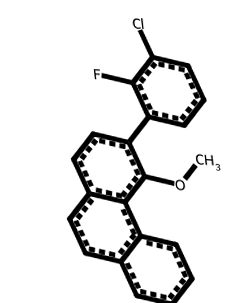 COc1c(-c2cccc(Cl)c2F)ccc2ccc3ccccc3c12